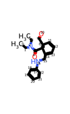 CCN(CC)C(=O)c1c(C=O)cccc1CNc1ccccc1